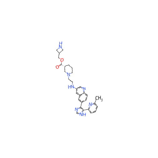 Cc1cccc(-c2[nH]cnc2-c2ccc3ncc(NCCN4CCC[C@@H](C(=O)OCC5CNC5)C4)cc3c2)n1